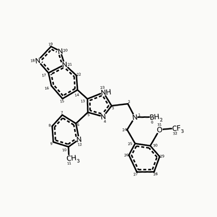 BN(Cc1nc(-c2cccc(C)n2)c(-c2ccc3ncnn3c2)[nH]1)Cc1ccccc1OC(F)(F)F